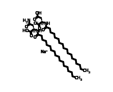 CCCCCCCCCCCCCCCCCC(=O)N[C@@H](CC(=O)O)C(=O)[O-].CCCCCCCCCCCCCCCCCC(=O)N[C@@H](CC(N)=O)C(=O)O.[Na+]